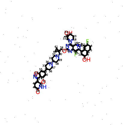 CCc1c(F)ccc2cc(O)cc(-c3ncc4c(N5CCC[C@@](C)(O)C5)nc(OCC5(CN6CCC(N7CCC(c8ccc9c(C%10CCC(=O)NC%10=O)noc9c8)CC7)CC6)CC5)nc4c3F)c12